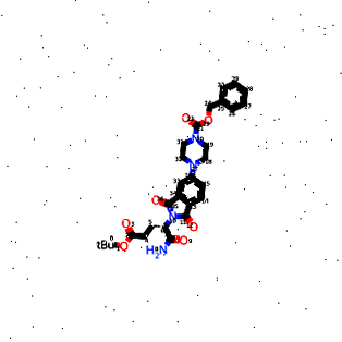 CC(C)(C)OC(=O)CC[C@@H](C(N)=O)N1C(=O)c2ccc(N3CCN(C(=O)OCc4ccccc4)CC3)cc2C1=O